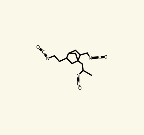 CC(CC12CC(CCN=C=O)C(CC1CN=C=O)C2)N=C=O